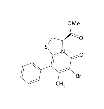 COC(=O)[C@@H]1CSc2c(-c3ccccc3)c(C)c(Br)c(=O)n21